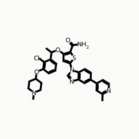 Cc1cc(-c2ccc3c(c2)ncn3-c2cc(OC(C)c3cccc(OC4CCN(C)CC4)c3Cl)c(C(N)=O)s2)ccn1